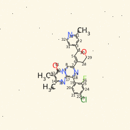 Cc1cc(C2C=C(c3cn4c(=O)c(C)c(C)nc4c(-c4ccc(Cl)cc4F)n3)CCO2)ccn1